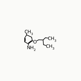 CCC(CC)COC1=C(N)C=CC(C)C1